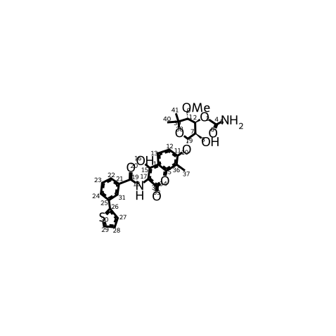 CO[C@@H]1[C@@H](OC(N)=O)[C@@H](O)[C@H](Oc2ccc3c(O)c(NC(=O)c4cccc(-c5cccs5)c4)c(=O)oc3c2C)OC1(C)C